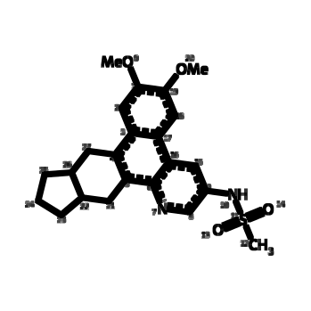 COc1cc2c3c(c4ncc(NS(C)(=O)=O)cc4c2cc1OC)CC1CCCC1C3